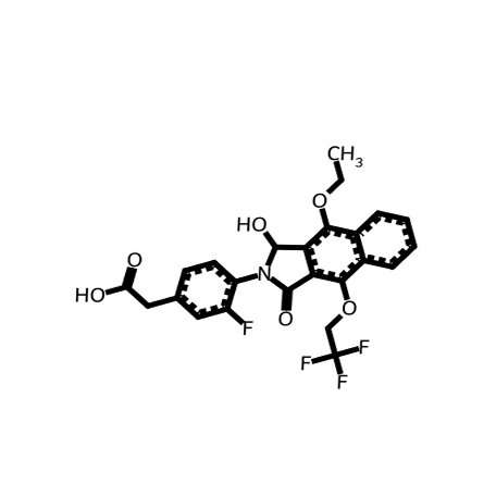 CCOc1c2c(c(OCC(F)(F)F)c3ccccc13)C(=O)N(c1ccc(CC(=O)O)cc1F)C2O